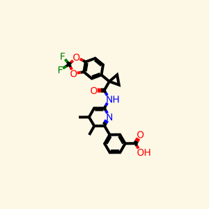 CC1C=C(NC(=O)C2(c3ccc4c(c3)OC(F)(F)O4)CC2)N=C(c2cccc(C(=O)O)c2)C1C